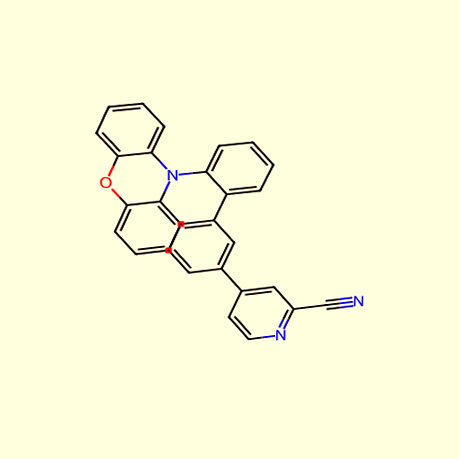 N#Cc1cc(-c2cccc(-c3ccccc3N3c4ccccc4Oc4ccccc43)c2)ccn1